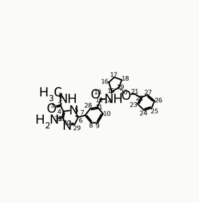 CNC(=O)c1nc(-c2cccc(C(=O)N[C@H]3CCC[C@@H]3OCc3ccccc3)c2)cnc1N